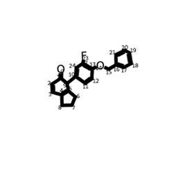 O=C1C=CC2=C(CCC2)C1c1ccc(OCc2ccccc2)c(F)c1